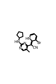 Cc1cnc(NC2CCCC2)nc1/C(C#N)=C1\NC=CC=C1Br